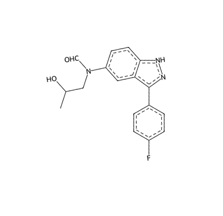 CC(O)CN(C=O)c1ccc2[nH]nc(-c3ccc(F)cc3)c2c1